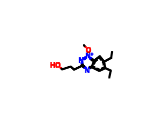 CCc1cc2nc(CCCO)n[n+](OC)c2cc1CC